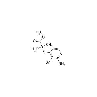 COC(=O)C(C)(C)Sc1ccnc(N)c1Br